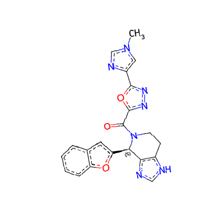 Cn1cnc(-c2nnc(C(=O)N3CCc4[nH]cnc4[C@H]3c3cc4ccccc4o3)o2)c1